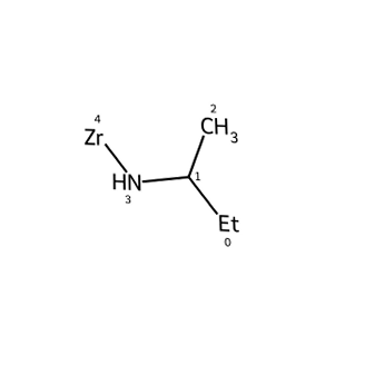 CCC(C)[NH][Zr]